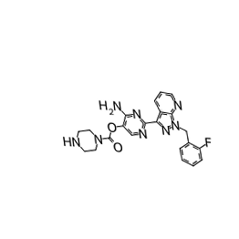 Nc1nc(-c2nn(Cc3ccccc3F)c3ncccc23)ncc1OC(=O)N1CCNCC1